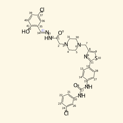 O=C(CN1CCN(Cc2csc(-c3ccc(NC(=O)Nc4cccc(Cl)c4)cc3)n2)CC1)N/N=C/c1cc(Cl)ccc1O